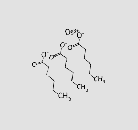 CCCCCC(=O)[O-].CCCCCC(=O)[O-].CCCCCC(=O)[O-].[Os+3]